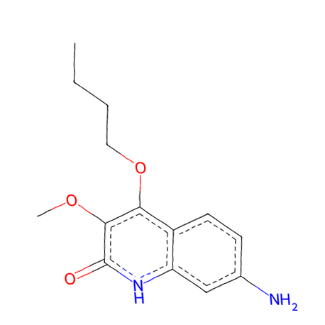 CCCCOc1c(OC)c(=O)[nH]c2cc(N)ccc12